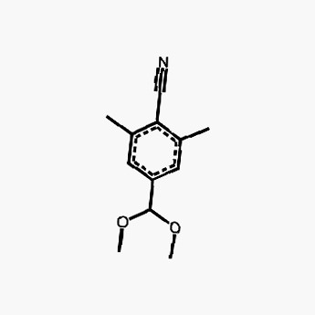 COC(OC)c1cc(C)c(C#N)c(C)c1